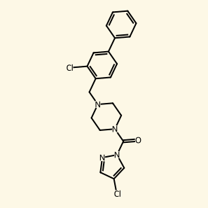 O=C(N1CCN(Cc2ccc(-c3ccccc3)cc2Cl)CC1)n1cc(Cl)cn1